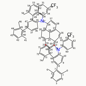 Cc1cccc(C)c1-c1ccc(N(C2=C3C=CC4=C5C(=CC=C(C=C2)C35)C(N(c2cccc(C(F)(F)F)c2)c2ccc(-c3c(C)cccc3C)cc2-c2c(C)cccc2C)C=C4)c2cccc(C(F)(F)F)c2)c(-c2c(C)cccc2C)c1